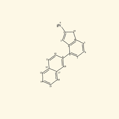 CC(C)C1=Cc2c(cccc2-c2ccc3ccccc3c2)C1